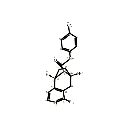 N#Cc1ccc(NC(=O)N2[C@@H]3CC[C@H]2c2ccnc(F)c2C3)cc1